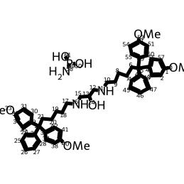 COc1ccc(C(CCCCCNCC(O)CNCCCCCC(c2ccccc2)(c2ccc(OC)cc2)c2ccc(OC)cc2)(c2ccccc2)c2ccc(OC)cc2)cc1.NP(O)O